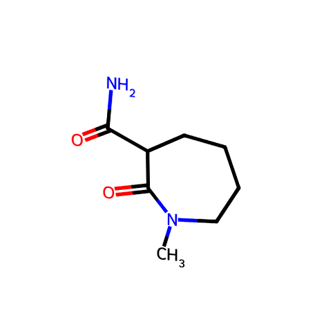 CN1CCCCC(C(N)=O)C1=O